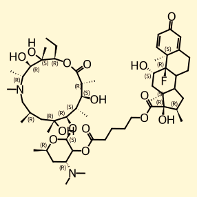 CC[C@H]1OC(=O)[C@H](C)[C@@H](O)[C@H](C)[C@@H](O[C@@H]2O[C@H](C)C[C@@H](N(C)C)C2OC(=O)CCCCOC(=O)[C@@]2(O)[C@H](C)CC3C4CCC5=CC(=O)C=C[C@]5(C)[C@@]4(F)[C@@H](O)C[C@@]32C)[C@](C)(O)C[C@@H](C)CN(C)[C@H](C)[C@@H](O)[C@]1(C)O